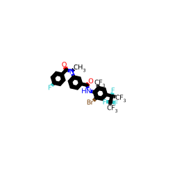 CN(C(=O)c1ccc(F)cc1)c1cccc(C(=O)Nc2c(Br)cc(C(F)(C(F)(F)F)C(F)(F)C(F)(F)F)cc2C(F)(F)F)c1